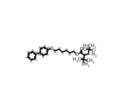 CC(C)(C)CC(C(=O)OCCCCCCOc1ccc(-c2ccccc2)cc1)C(C)(C)C